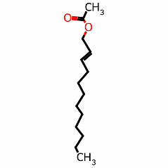 CCCCCCCCCC=CCOC(C)=O